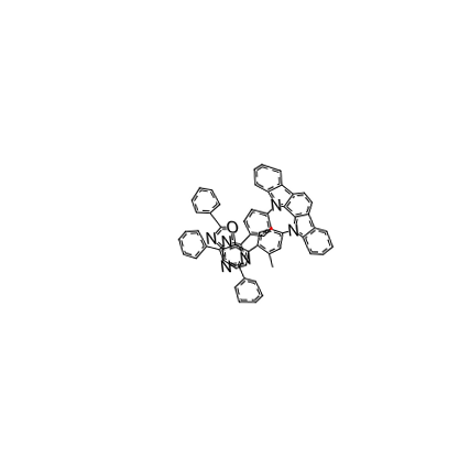 Cc1cc(-n2c3ccccc3c3ccc4c5ccccc5n(-c5ccc(-c6nc(-c7ccccc7)nc(-c7ccccc7)n6)cc5)c4c32)ccc1-c1cccc2nc(-c3ccccc3)oc12